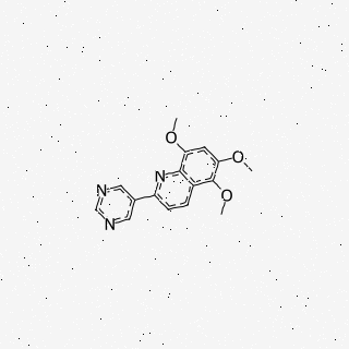 COc1cc(OC)c2nc(-c3cncnc3)ccc2c1OC